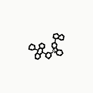 c1ccc(-c2c3ccccc3c(-c3cccc(-n4c5ccccc5c5cc(-c6cccc7ccccc67)ccc54)c3)c3ccccc23)cc1